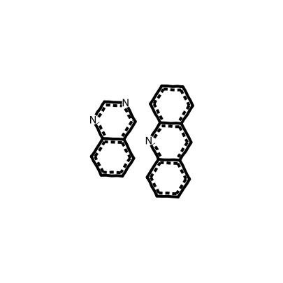 c1ccc2nc3ccccc3cc2c1.c1ccc2ncncc2c1